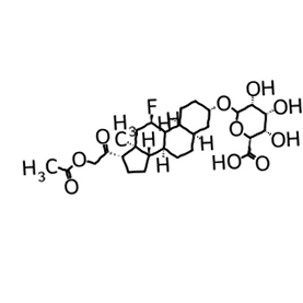 CC(=O)OCC(=O)[C@H]1CC[C@H]2[C@@H]3CC[C@@H]4C[C@@H](OC5O[C@H](C(=O)O)[C@@H](O)[C@@H](O)[C@H]5O)CC[C@@H]4[C@H]3[C@H](F)C[C@]12C